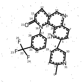 Cc1ccc(-c2ccc3ncc4ccc(=O)n(-c5cccc(C(F)(F)F)c5)c4c3n2)cn1